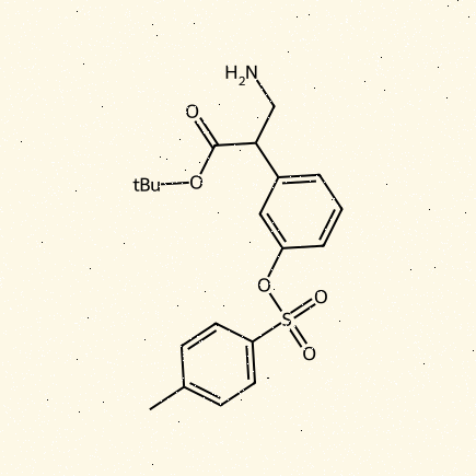 Cc1ccc(S(=O)(=O)Oc2cccc(C(CN)C(=O)OC(C)(C)C)c2)cc1